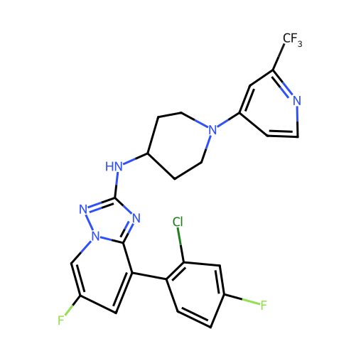 Fc1ccc(-c2cc(F)cn3nc(NC4CCN(c5ccnc(C(F)(F)F)c5)CC4)nc23)c(Cl)c1